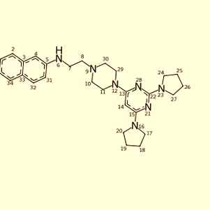 c1ccc2cc(NCCN3CCN(c4cc(N5CCCC5)nc(N5CCCC5)n4)CC3)ccc2c1